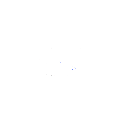 CCC(C)[C@H](NC(=O)OC(C)(C)C)C(=O)N[C@H](C(=O)O)[C@H](C)O